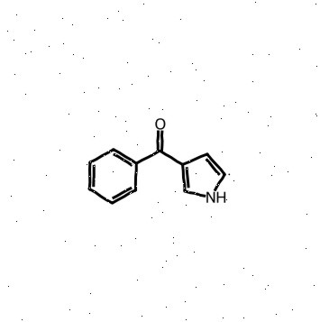 O=C(c1ccccc1)c1c[c][nH]c1